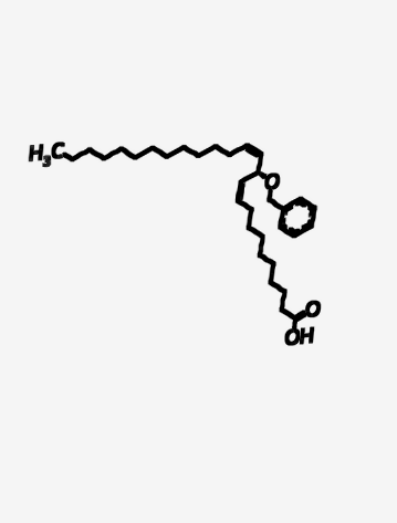 CCCCCCCCCCCC/C=C\[C@H](/C=C\CCCCCCCCC(=O)O)OCc1ccccc1